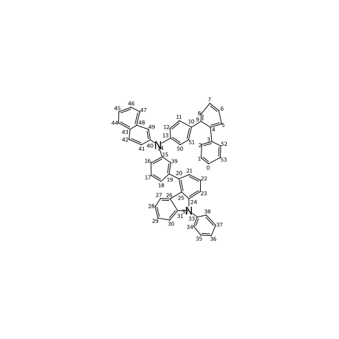 c1ccc(-c2ccccc2-c2ccc(N(c3cccc(-c4cccc5c4c4ccccc4n5-c4ccccc4)c3)c3ccc4ccccc4c3)cc2)cc1